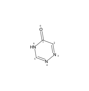 O=c1[c]nnc[nH]1